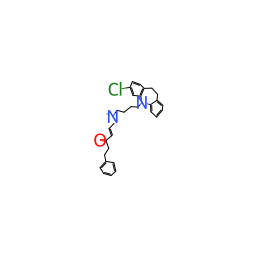 CN(C/C=C/C(=O)CCc1ccccc1)CCCCN1c2ccccc2CCc2ccc(Cl)cc21